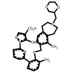 COc1c(C(=O)O)cnn1-c1cccc(-c2cccc(C)c2OCc2ccc3c(c2C)CCN(CC2COCCO2)CC3)n1